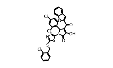 O=C(C1=C(O)C(=O)N(c2nnc(SCc3ccccc3Cl)s2)C1c1ccc(Cl)cc1Cl)c1cc2ccccc2o1